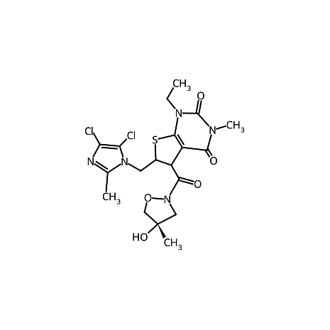 CCn1c2c(c(=O)n(C)c1=O)C(C(=O)N1C[C@](C)(O)CO1)C(Cn1c(C)nc(Cl)c1Cl)S2